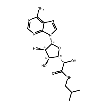 CC(C)CNC(=O)C(O)[C@H]1O[C@@H](n2cnc3c(N)ncnc32)[C@H](O)[C@@H]1O